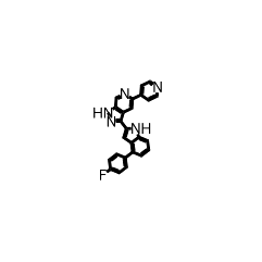 Fc1ccc(-c2cccc3[nH]c(-c4n[nH]c5cnc(-c6ccncc6)cc45)cc23)cc1